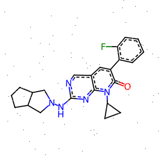 O=c1c(-c2ccccc2F)cc2cnc(NN3CC4CCCC4C3)nc2n1C1CC1